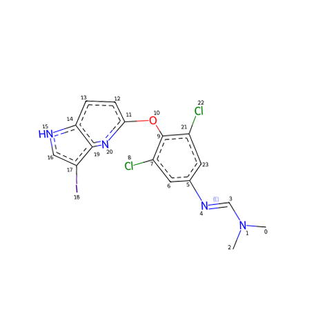 CN(C)/C=N/c1cc(Cl)c(Oc2ccc3[nH]cc(I)c3n2)c(Cl)c1